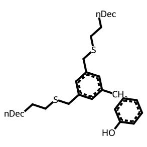 CCCCCCCCCCCCSCc1cc(C)cc(CSCCCCCCCCCCCC)c1.Oc1ccccc1